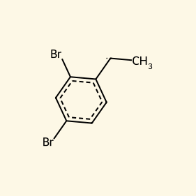 C[CH]c1ccc(Br)cc1Br